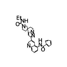 CCNC(=O)N1CCC2(CCn3nc(-c4cnc5cccc(NC(=O)c6ccccc6)c5c4)cc32)C1